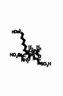 CCCCCCCCCCCCCCCCC(C)(C)C(=O)[N+](CCC)(CCCS(=O)(=O)O)C(N)=O.NCC(=O)O